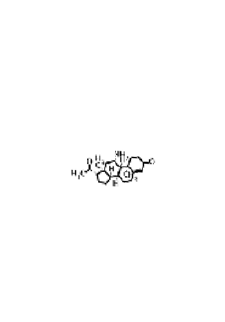 CC(=O)[C@H]1CC[C@H]2[C@@H]3CCC4=CC(=O)CC[C@]4(C)[C@H]3[C@@H](N)C[C@]12C